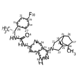 C[C@@H](NC(=O)Nc1cc2[nH]nc(N3CC4C5CCC(C)(O5)C4C3)c2cn1)c1ccc(F)cc1